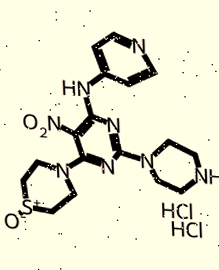 Cl.Cl.O=[N+]([O-])c1c(Nc2ccncc2)nc(N2CCNCC2)nc1N1CC[S+]([O-])CC1